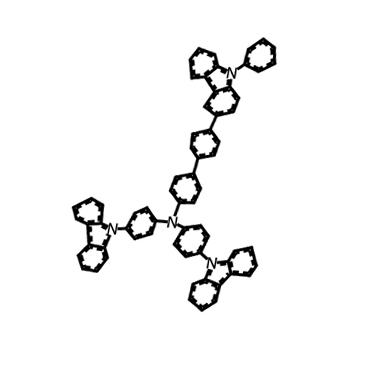 c1ccc(-n2c3ccccc3c3cc(-c4ccc(-c5ccc(N(c6ccc(-n7c8ccccc8c8ccccc87)cc6)c6ccc(-n7c8ccccc8c8ccccc87)cc6)cc5)cc4)ccc32)cc1